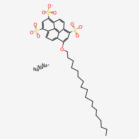 CCCCCCCCCCCCCCCCCCOc1cc(S(=O)(=O)[O-])c2ccc3c(S(=O)(=O)[O-])cc(S(=O)(=O)[O-])c4ccc1c2c43.[Na+].[Na+].[Na+]